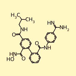 CC(C)CNC(=O)c1ccc(-c2ccccc2C(=O)Nc2ccc(C(=N)N)cc2)c(C(=O)NO)c1